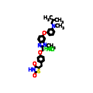 CC(C)CN(C)c1cccc(Oc2ccc3nc(COc4ccc(CC5SC(=O)NC5=O)cc4)n(C)c3c2)c1.Cl.Cl